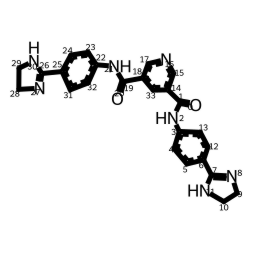 O=C(Nc1ccc(C2=NCCN2)cc1)c1cncc(C(=O)Nc2ccc(C3=NCCN3)cc2)c1